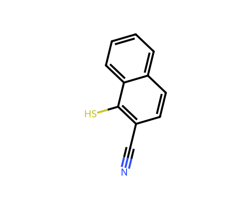 N#Cc1ccc2ccccc2c1S